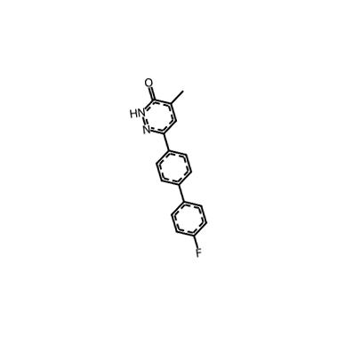 Cc1cc(-c2ccc(-c3ccc(F)cc3)cc2)n[nH]c1=O